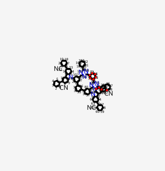 N#Cc1ccccc1-c1ccc2c(c1)c1cc(-c3ccccc3C#N)ccc1n2-c1cc(-c2cccc(-c3ccc(-n4c5ccc(-c6ccccc6C#N)cc5c5cc(-c6ccccc6C#N)ccc54)c(-c4nc(-c5ccccc5)nc(-c5ccccc5)n4)c3)c2)cc(-c2nc(-c3ccccc3)nc(-c3ccccc3)n2)c1